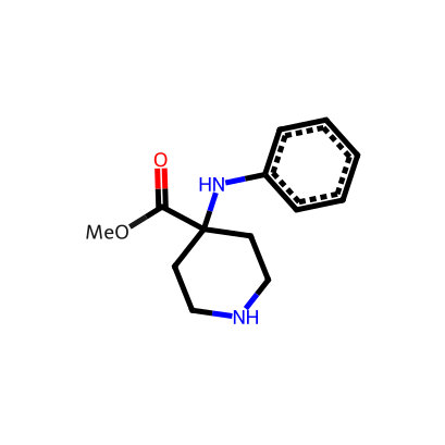 COC(=O)C1(Nc2ccccc2)CCNCC1